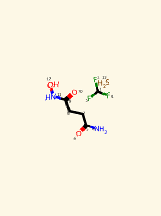 FC(F)F.NC(=O)CCC(=O)NO.S